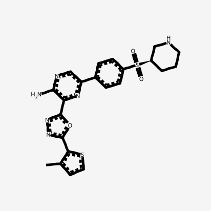 Cc1ccsc1-c1nnc(-c2nc(-c3ccc(S(=O)(=O)[C@@H]4CCCNC4)cc3)cnc2N)o1